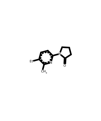 CCc1ccc(N2CCCC2=O)nc1C